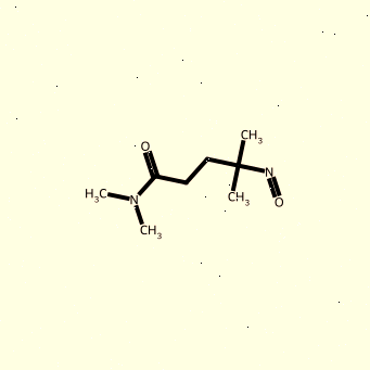 CN(C)C(=O)CCC(C)(C)N=O